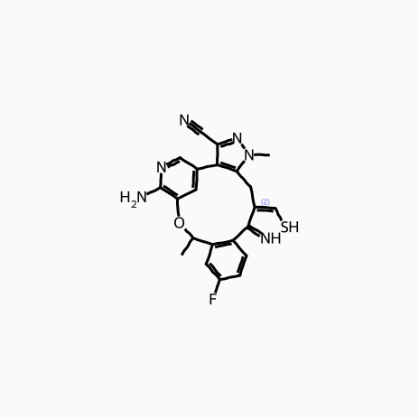 CC1Oc2cc(cnc2N)-c2c(C#N)nn(C)c2C/C(=C/S)C(=N)c2ccc(F)cc21